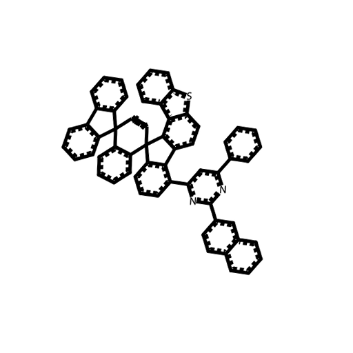 c1ccc(-c2cc(-c3cccc4c3-c3ccc5sc6ccccc6c5c3C43c4ccccc4C4(c5ccccc5-c5ccccc54)c4ccccc43)nc(-c3ccc4ccccc4c3)n2)cc1